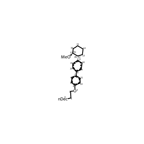 CCCCCCCCCCCCOc1ccc(-c2ccc([C@H]3CCCC[C@@H]3OC)cc2)cc1